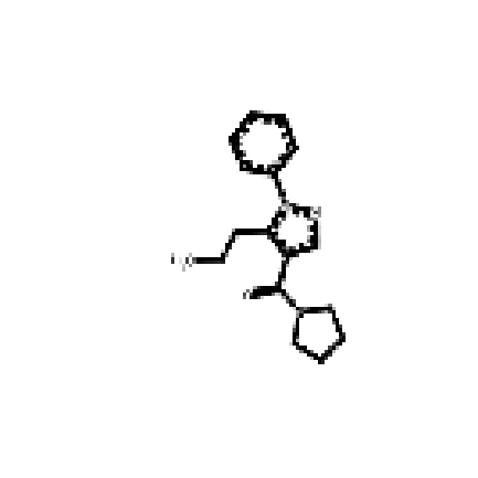 CCCc1c(C(=O)N2CCCC2)cnn1-c1ccccc1